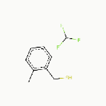 Cc1ccccc1CS.FC(F)F